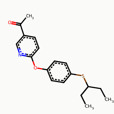 CCC(CC)Sc1ccc(Oc2ccc(C(C)=O)cn2)cc1